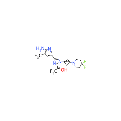 Nc1ncc(-c2cn(C34CC(N5CCC(F)(F)CC5)(C3)C4)c([C@H](O)C(F)(F)F)n2)cc1C(F)(F)F